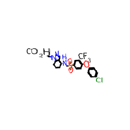 O=C(O)Cn1ncc2c1CCC[C@H]2NCS(=O)(=O)c1ccc(Oc2ccc(Cl)cc2)c(C(F)(F)F)c1